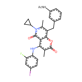 CC(=O)Nc1cccc(Cc2c(C)n(C3CC3)c(=O)c3c(Nc4ccc(I)cc4F)c(C)c(=O)oc23)c1